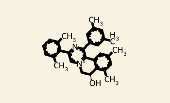 Cc1cc(C)cc(-c2nc(-c3c(C)cccc3C)c[n+]3c2-c2cc(C)cc(C)c2[C@H](O)C3)c1